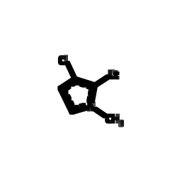 CCc1c(Cl)ccn1C